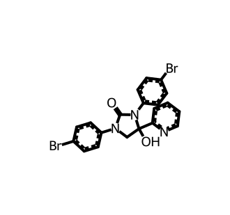 O=C1N(c2ccc(Br)cc2)CC(O)(c2ccccn2)N1c1ccc(Br)cc1